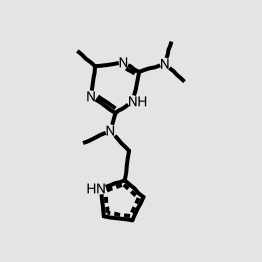 CC1N=C(N(C)C)NC(N(C)Cc2ccc[nH]2)=N1